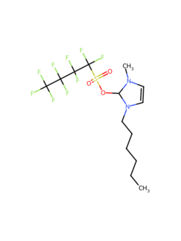 CCCCCCN1C=CN(C)C1OS(=O)(=O)C(F)(F)C(F)(F)C(F)(F)C(F)(F)F